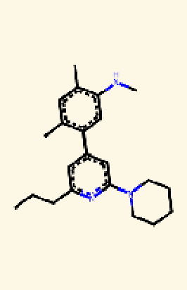 CCCc1cc(-c2cc(NC)c(C)cc2C)cc(N2CCCCC2)n1